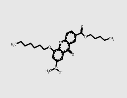 CCCCCCCOc1cc([S+](C)[O-])cc2c(=O)c3cc(C(=O)OCCCCC)ccc3oc12